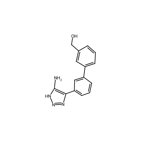 Nc1[nH]nnc1-c1cccc(-c2cccc(CO)c2)c1